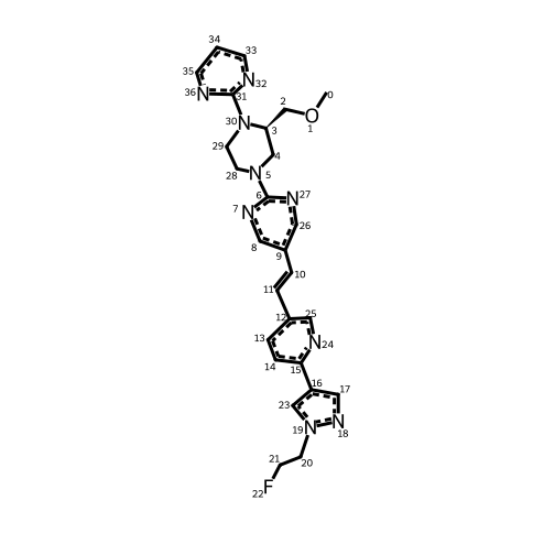 COC[C@H]1CN(c2ncc(/C=C/c3ccc(-c4cnn(CCF)c4)nc3)cn2)CCN1c1ncccn1